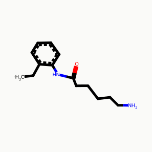 [CH2]Cc1ccccc1NC(=O)CCCCCN